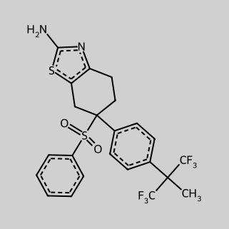 CC(c1ccc(C2(S(=O)(=O)c3ccccc3)CCc3nc(N)sc3C2)cc1)(C(F)(F)F)C(F)(F)F